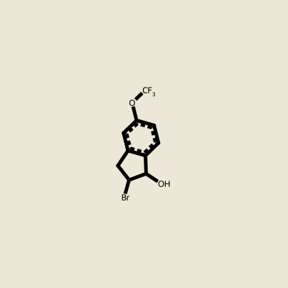 OC1c2ccc(OC(F)(F)F)cc2CC1Br